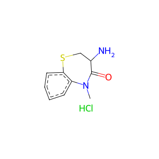 CN1C(=O)C(N)CSc2ccccc21.Cl